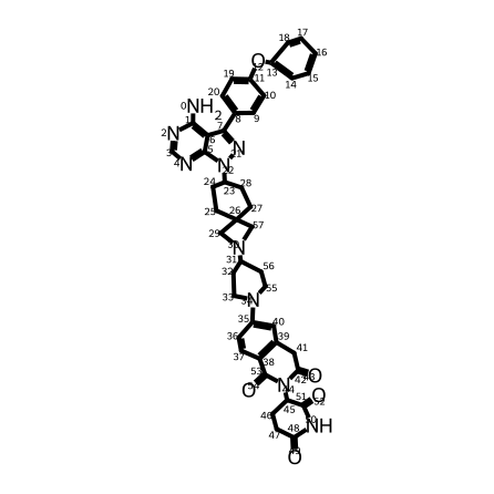 Nc1ncnc2c1c(-c1ccc(Oc3ccccc3)cc1)nn2C1CCC2(CC1)CN(C1CCN(c3ccc4c(c3)CC(=O)N(C3CCC(=O)NC3=O)C4=O)CC1)C2